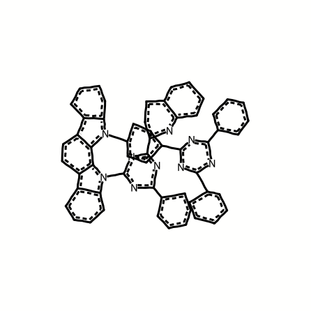 c1ccc(-c2nc(-c3ccccc3)nc(-c3ccc(-n4c5ccccc5c5ccc6c7ccccc7n(-c7nc(-c8ccccc8)nc(-c8ccc9ccccc9n8)n7)c6c54)cc3)n2)cc1